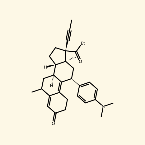 CC#C[C@]1(C(=O)CC)CC[C@H]2[C@@H]3CC(C)C4=CC(=O)CCC4=C3[C@@H](c3ccc(N(C)C)cc3)C[C@@]21C